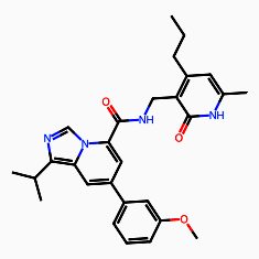 CCCc1cc(C)[nH]c(=O)c1CNC(=O)c1cc(-c2cccc(OC)c2)cc2c(C(C)C)ncn12